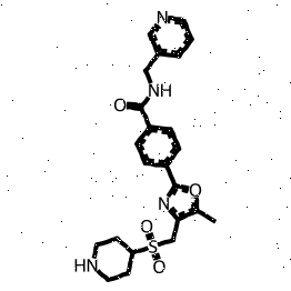 Cc1oc(-c2ccc(C(=O)NCc3cccnc3)cc2)nc1CS(=O)(=O)C1CCNCC1